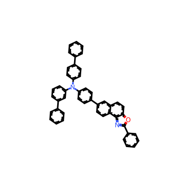 c1ccc(-c2ccc(N(c3ccc(-c4ccc5c(ccc6oc(-c7ccccc7)nc65)c4)cc3)c3cccc(-c4ccccc4)c3)cc2)cc1